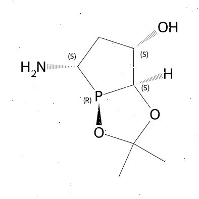 CC1(C)O[C@@H]2[C@@H](O)C[C@@H](N)[P@]2O1